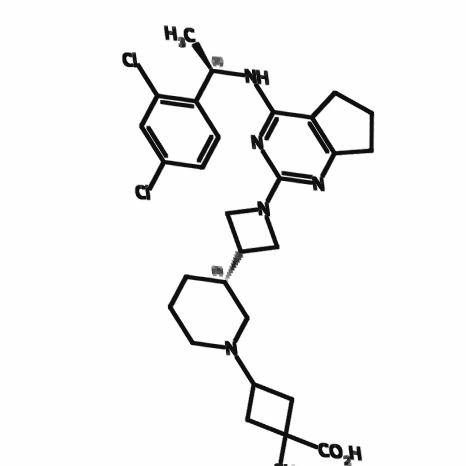 C[C@@H](Nc1nc(N2CC([C@H]3CCCN(C4CC(C)(C(=O)O)C4)C3)C2)nc2c1CCC2)c1ccc(Cl)cc1Cl